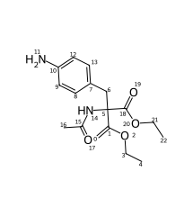 C=C(OCC)C(Cc1ccc(N)cc1)(NC(C)=O)C(=O)OCC